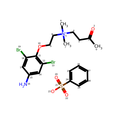 CC(=O)CC[N+](C)(C)CCOc1c(Br)cc(N)cc1Br.O=S(=O)([O-])c1ccccc1